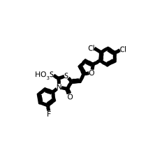 O=C1C(=Cc2ccc(-c3ccc(Cl)cc3Cl)o2)SC(S(=O)(=O)O)N1c1cccc(F)c1